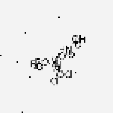 O=C(O)CCNC(=O)c1ccc(Oc2nn(-c3cc(Cl)cc(Cl)c3)cc2-c2cccc(OC(F)(F)F)c2)cc1